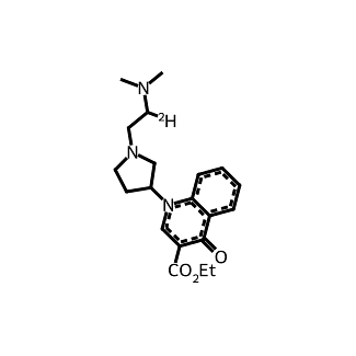 [2H]C(CN1CCC(n2cc(C(=O)OCC)c(=O)c3ccccc32)C1)N(C)C